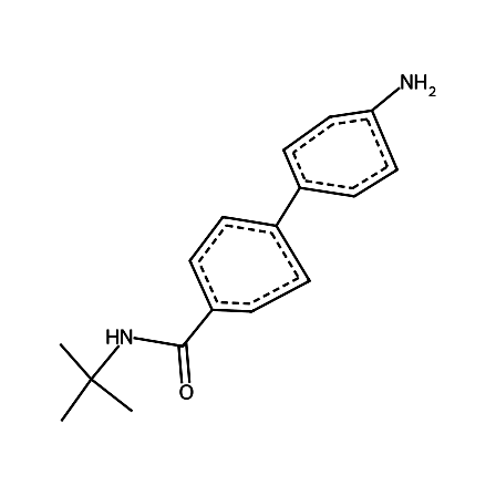 CC(C)(C)NC(=O)c1ccc(-c2ccc(N)cc2)cc1